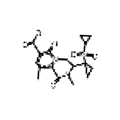 Cc1cc(C(=O)O)c(=O)n2c1C(=O)N(C)C(C1(S(=O)(=O)C3CC3)CC1)C2